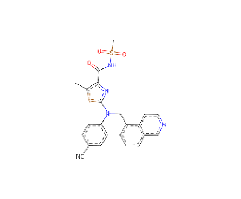 Cc1sc(N(Cc2cccc3cnccc23)c2ccc(C#N)cc2)nc1C(=O)NS(C)(=O)=O